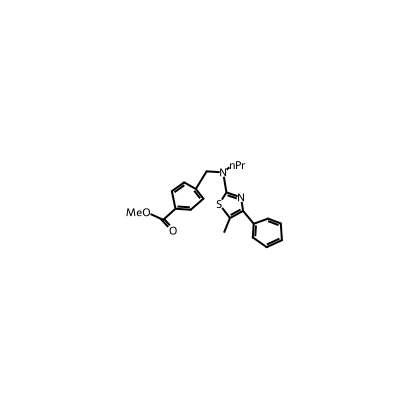 CCCN(Cc1ccc(C(=O)OC)cc1)c1nc(-c2ccccc2)c(C)s1